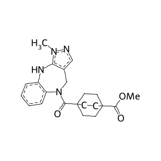 COC(=O)C12CCC(C(=O)N3Cc4cnn(C)c4Nc4ccccc43)(CC1)CC2